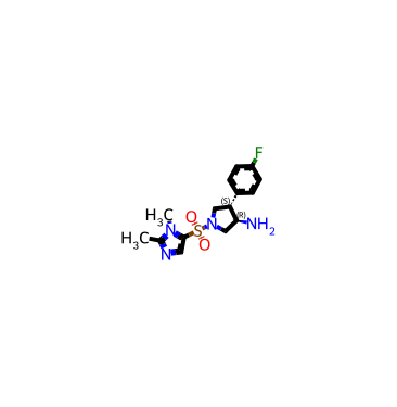 Cc1ncc(S(=O)(=O)N2C[C@H](c3ccc(F)cc3)[C@@H](N)C2)n1C